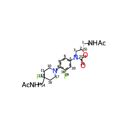 CC(=O)NC[C@H]1CN(c2ccc(N3CCC(F)(CNC(C)=O)CC3)c(F)c2)C(=O)O1